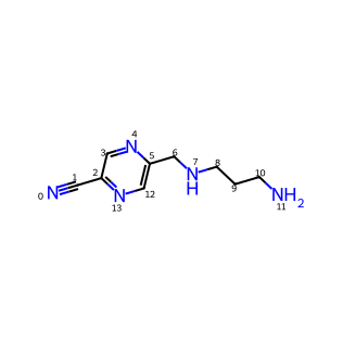 N#Cc1cnc(CNCCCN)cn1